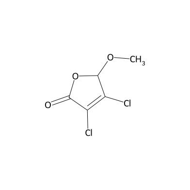 COC1OC(=O)C(Cl)=C1Cl